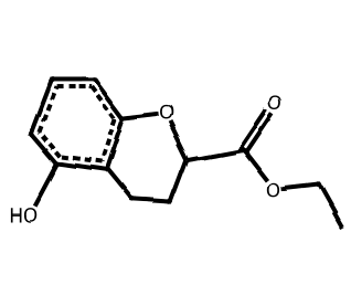 CCOC(=O)C1CCc2c(O)cccc2O1